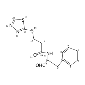 O=CC(Cc1ccccc1)NC(=O)CCSc1nncs1